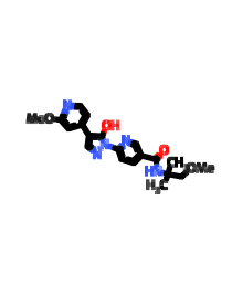 COCC(C)(C)NC(=O)c1ccc(-n2ncc(-c3ccnc(OC)c3)c2O)nc1